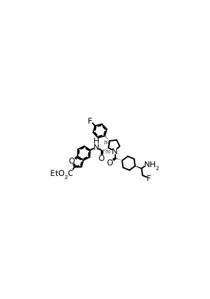 CCOC(=O)c1cc2cc(NC(=O)[C@@H]3[C@H](c4ccc(F)cc4)CCN3C(=O)[C@H]3CC[C@H](C(N)CF)CC3)ccc2o1